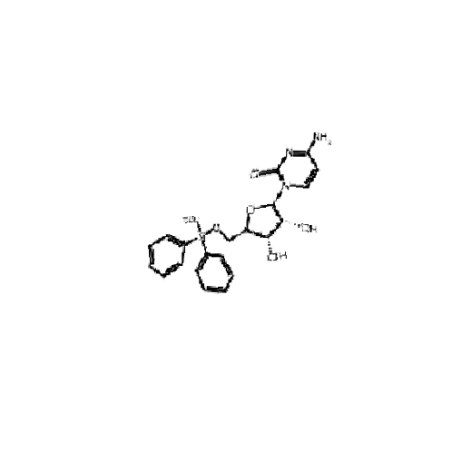 CC(C)(C)[Si](OC[C@H]1O[C@@H](n2ccc(N)nc2=O)[C@H](O)[C@@H]1O)(c1ccccc1)c1ccccc1